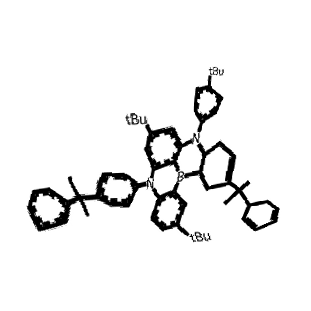 CC(C)(C)c1ccc(N2c3cc(C(C)(C)C)cc4c3B(c3cc(C(C)(C)C)ccc3N4c3ccc(C(C)(C)c4ccccc4)cc3)C3CC(C(C)(C)C4C=CC=CC4)=CCC32)cc1